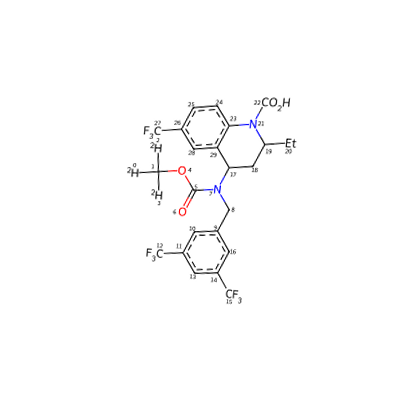 [2H]C([2H])([2H])OC(=O)N(Cc1cc(C(F)(F)F)cc(C(F)(F)F)c1)C1CC(CC)N(C(=O)O)c2ccc(C(F)(F)F)cc21